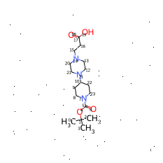 CC(C)(C)OC(=O)N1CCC(N2CCN(CCC(=O)O)CC2)CC1